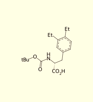 CCc1ccc(C[C@@H](NC(=O)OC(C)(C)C)C(=O)O)cc1CC